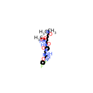 COC(=O)NC(CCC=CC(=O)N(C)C)C(=O)Nc1cccn(Cc2nc3c(Oc4ccc(F)cc4F)ncnc3[nH]2)c1=O